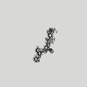 NS(=O)(=O)c1ccc(NC(=S)NCCCCCCCCN(Cc2ccccn2)Cc2ccccn2)cc1.O=[C]=[Re](=[C]=O)=[C]=O